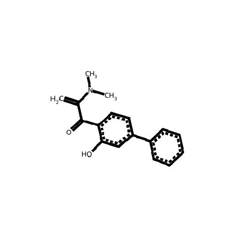 C=C(C(=O)c1ccc(-c2ccccc2)cc1O)N(C)C